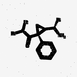 CC[C@H](N)[C@@H]1C[C@@]1(C(=O)N(CC)CC)c1ccccc1